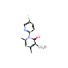 CCOC(=O)c1c(C)cc(C)n(-c2ccc(F)cn2)c1=O